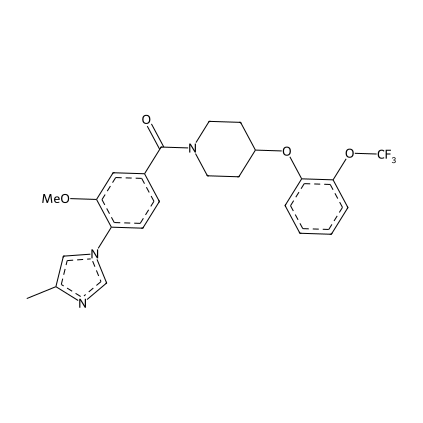 COc1cc(C(=O)N2CCC(Oc3ccccc3OC(F)(F)F)CC2)ccc1-n1cnc(C)c1